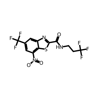 O=C(NCCC(F)(F)F)c1nc2cc(C(F)(F)F)cc([N+](=O)[O-])c2s1